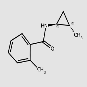 Cc1ccccc1C(=O)N[C@H]1C[C@@H]1C